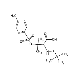 Cc1ccc(S(=O)(=O)OC(C)(C)C(NOC(C)(C)C)C(=O)O)cc1